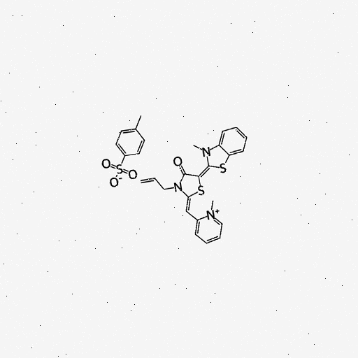 C=CCn1c(=Cc2cccc[n+]2C)sc(=C2Sc3ccccc3N2C)c1=O.Cc1ccc(S(=O)(=O)[O-])cc1